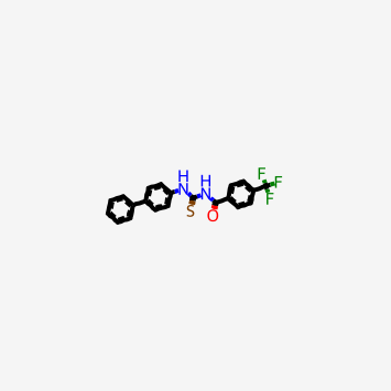 O=C(NC(=S)Nc1ccc(-c2ccccc2)cc1)c1ccc(C(F)(F)F)cc1